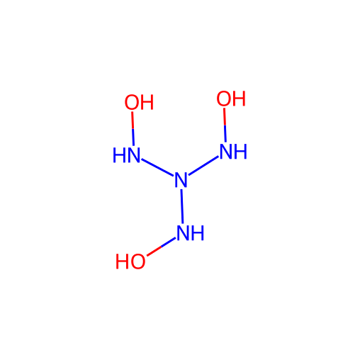 ONN(NO)NO